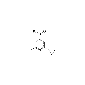 Cc1cc(B(O)O)cc(C2CC2)n1